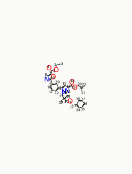 CCOC(=O)c1cnc(-c2cccc(-c3cc(C(=O)OCC(C)C)nn3CC(C)(C)COCc3ccccc3)c2)o1